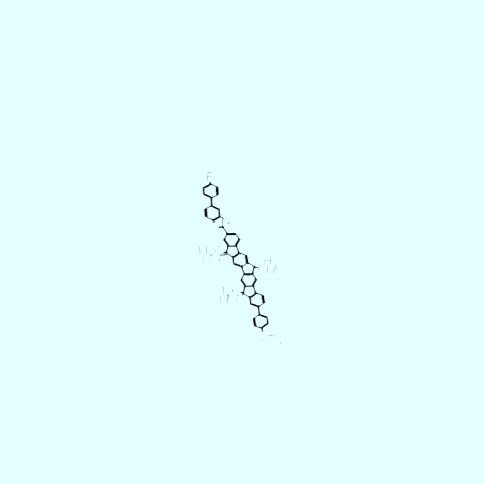 Cc1ccc(-c2ccc3c(c2)C(C)(C)c2cc4c(cc2-3)C(C)(C)c2cc3c(cc2-4)C(C)(C)c2cc(-c4nc5cc(-c6ccc(F)cc6)ccc5o4)ccc2-3)cc1